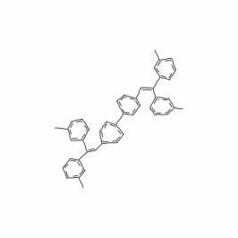 Cc1cccc(C(=Cc2ccc(-c3ccc(C=C(c4cccc(C)c4)c4cccc(C)c4)cc3)cc2)c2cccc(C)c2)c1